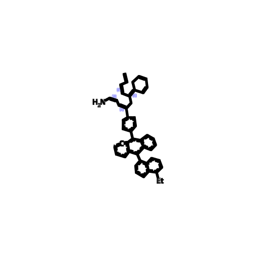 C=C/C=C\C(C/C(=C\C=C/N)c1ccc(-c2c3ccccc3c(-c3cccc4c(CC)cccc34)c3ccccc23)cc1)=C1\C=CC=CC1